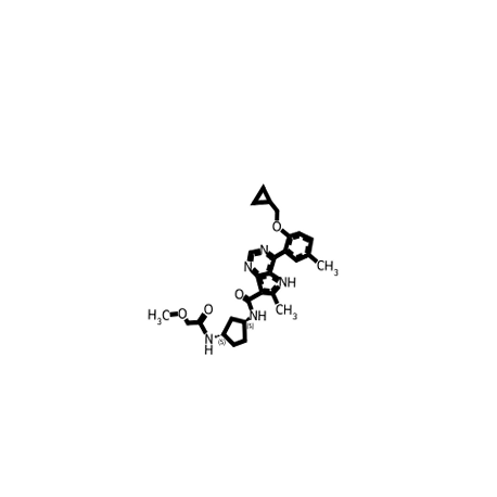 COCC(=O)N[C@H]1CC[C@H](NC(=O)c2c(C)[nH]c3c(-c4cc(C)ccc4OCC4CC4)ncnc23)C1